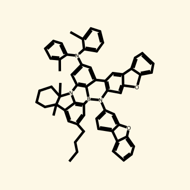 CCCCc1cc2c3c(c1)C1(C)CCCCC1(C)N3c1cc(N(c3ccccc3C)c3ccccc3C)cc3c1B2N(c1ccc2c(c1)oc1ccccc12)c1cc2oc4ccccc4c2cc1-3